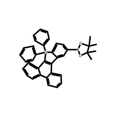 CC1(C)OB(c2ccc3c(c2)-c2c(c4ccccc4c4ccccc24)[Si]3(c2ccccc2)c2ccccc2)OC1(C)C